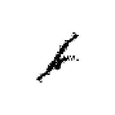 C=CC(=O)OCCCCCCOc1ccc(OC(=O)C2CCC(COc3ccc(OCC4CCC(C(=O)Oc5ccc(OCCCCCCOC(=O)C=C)cc5)CC4)c(/C=N/N(CCOCCOC)c4nc5ccccc5s4)c3)CC2)cc1